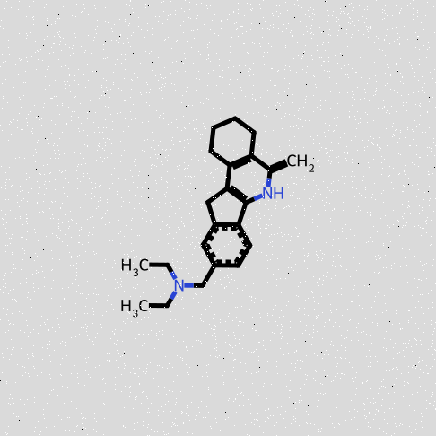 C=C1NC2=C(Cc3cc(CN(CC)CC)ccc32)C2=C1CCCC2